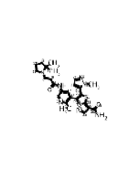 Cc1ncc(NC(=O)CCN2CCCC2(C)C)cc1-c1c(-c2ccnn2C)sc2c(C(N)=O)cnn12